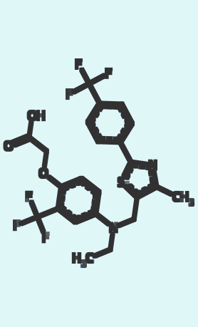 CCN(Cc1sc(-c2ccc(C(F)(F)F)cc2)nc1C)c1ccc(OCC(=O)O)c(C(F)(F)F)c1